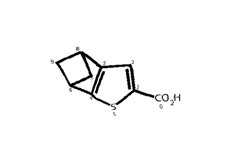 O=C(O)c1cc2c(s1)C1CC2C1